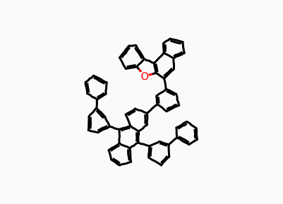 c1ccc(-c2cccc(-c3c4ccccc4c(-c4cccc(-c5ccccc5)c4)c4cc(-c5cccc(-c6cc7ccccc7c7c6oc6ccccc67)c5)ccc34)c2)cc1